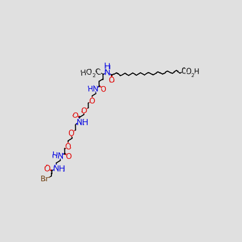 O=C(O)CCCCCCCCCCCCCCCCC(=O)N[C@@H](CCC(=O)NCCOCCOCC(=O)NCCOCCOCC(=O)NCCNC(=O)CBr)C(=O)O